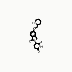 O=C1CCC(N2Cc3cc(OCC4CCCCN4)ccc3C2=O)C(=O)N1